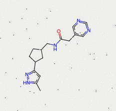 Cc1cc(C2CCC(CNC(=O)Cc3cncnc3)C2)n[nH]1